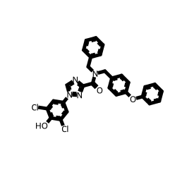 O=C(c1ncn(-c2cc(Cl)c(O)c(Cl)c2)n1)N(Cc1ccccc1)Cc1ccc(Oc2ccccc2)cc1